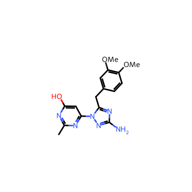 COc1ccc(Cc2nc(N)nn2-c2cc(O)nc(C)n2)cc1OC